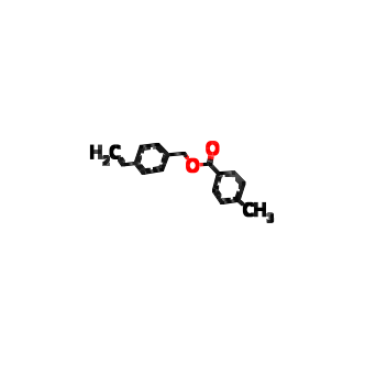 C=Cc1ccc(COC(=O)c2ccc(C)cc2)cc1